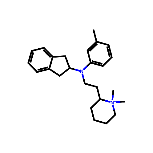 Cc1cccc(N(CCC2CCCC[N+]2(C)C)C2Cc3ccccc3C2)c1